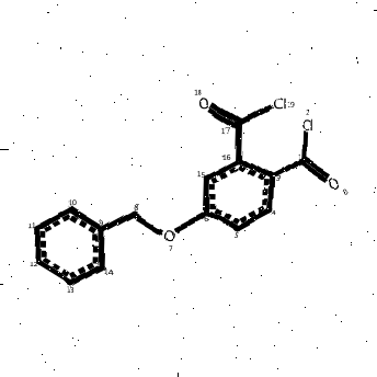 O=C(Cl)c1ccc(OCc2ccccc2)cc1C(=O)Cl